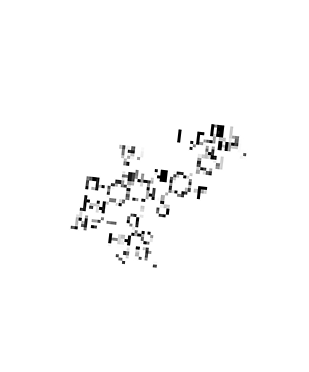 BC(B)(B)n1cc(-c2ccc(C(=O)N(C(=N)NCCC(C)(C)C)[C@H](COC(=O)NC3(C(F)(F)F)CC3)c3ccc(Cl)c(N(/N=C\N=C)C(F)F)c3)cc2F)cn1